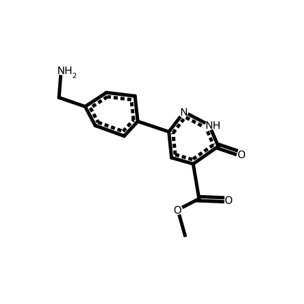 COC(=O)c1cc(-c2ccc(CN)cc2)n[nH]c1=O